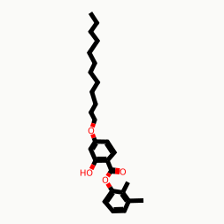 CCCCCCCCCCCCOc1ccc(C(=O)Oc2cccc(C)c2C)c(O)c1